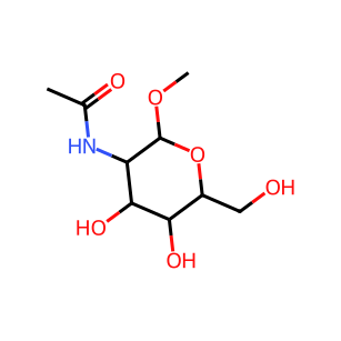 COC1OC(CO)C(O)C(O)C1NC(C)=O